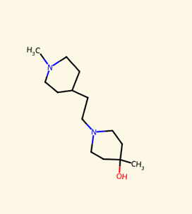 CN1CCC(CCN2CCC(C)(O)CC2)CC1